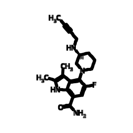 CC#CCN[C@H]1CCCN(c2c(F)cc(C(N)=O)c3[nH]c(C)c(C)c23)C1